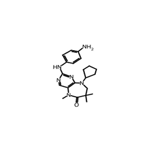 CN1C(=O)C(C)(C)CN(C2CCCC2)c2nc(Nc3ccc(N)cc3)ncc21